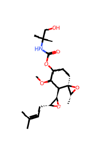 COC1C(OC(=O)NC(C)(C)CO)CC[C@@]2(O[C@@H]2C)C1[C@H]1O[C@@H]1CC=C(C)C